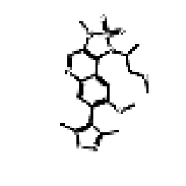 COCC(C)N1c2c(cnc3cc(-c4c(C)noc4C)c(OC)cc23)N(C)S1(=O)=O